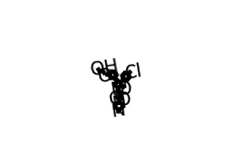 CN1CCN(S(=O)(=O)CCN2CC(c3cccc(OCCO)c3)N(c3ccc(Cl)cc3)C2=O)CC1